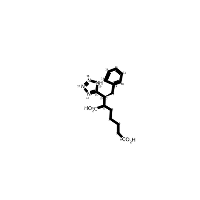 O=C(O)CCCCC(C(=O)O)[C@H](Cc1ccccc1)c1nnn[nH]1